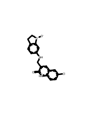 O=c1[nH]c2ccc(Cl)cc2cc1CNc1ccc2c(c1)[S+]([O-])CC2